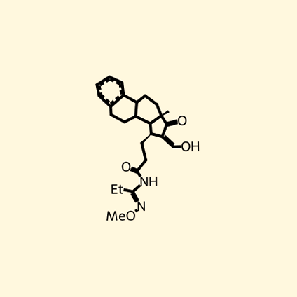 CC/C(=N\OC)NC(=O)CC[C@@H]1/C(=C/O)C(=O)[C@@]2(C)CCC3c4ccccc4CCC3C12